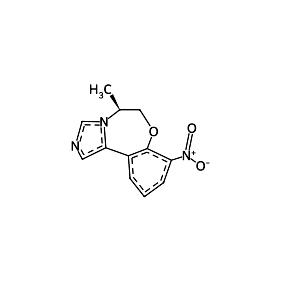 C[C@H]1COc2c(cccc2[N+](=O)[O-])-c2cncn21